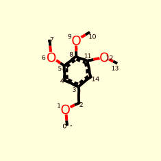 [CH2]OCc1cc(OC)c(OC)c(OC)c1